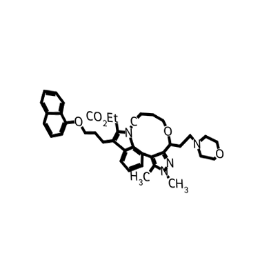 CCOC(=O)c1c(CCCOc2cccc3ccccc23)c2cccc3c2n1CCCCOC(CCN1CCOCC1)c1nn(C)c(C)c1-3